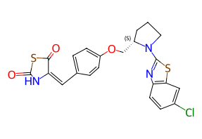 O=C1NC(=Cc2ccc(OC[C@@H]3CCCN3c3nc4ccc(Cl)cc4s3)cc2)C(=O)S1